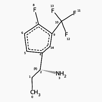 CC[C@@H](N)c1ccc(F)c(C(F)(F)F)c1